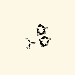 OB(O)F.c1nnn[nH]1.c1nnn[nH]1